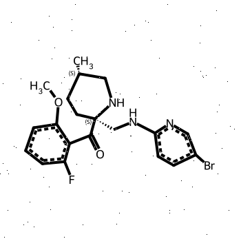 COc1cccc(F)c1C(=O)[C@@]1(CNc2ccc(Br)cn2)CC[C@H](C)CN1